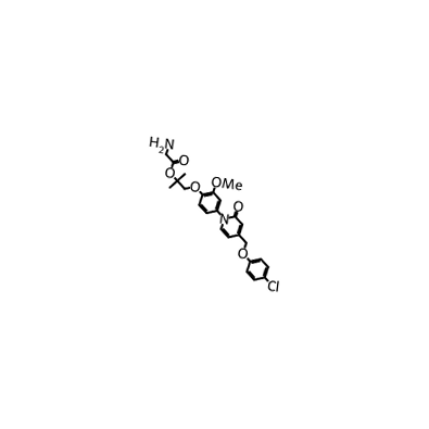 COc1cc(-n2ccc(COc3ccc(Cl)cc3)cc2=O)ccc1OCC(C)(C)OC(=O)CN